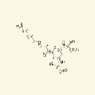 CC(C)[C@H](N[C@@H]1C[C@@H](N[C@H](C=O)C(C)C)CN(C(=O)CCOCCOCCN)C1)C(=O)O